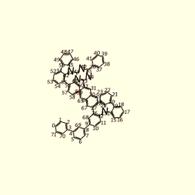 c1ccc(-c2cccc(-c3ccc(-n4c5ccccc5c5ccccc54)c(-c4ccc5cc(-c6nc(-c7ccccc7)nc(-n7c8ccccc8c8cccc(-c9ccccc9)c87)n6)ccc5c4)c3)c2)cc1